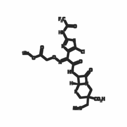 CSCC1(C(=O)O)CS[C@@H]2C(NC(=O)C(=NOCC(=O)OC(C)(C)C)c3nc(NC(=O)C(F)(F)F)sc3Cl)C(=O)N2C1